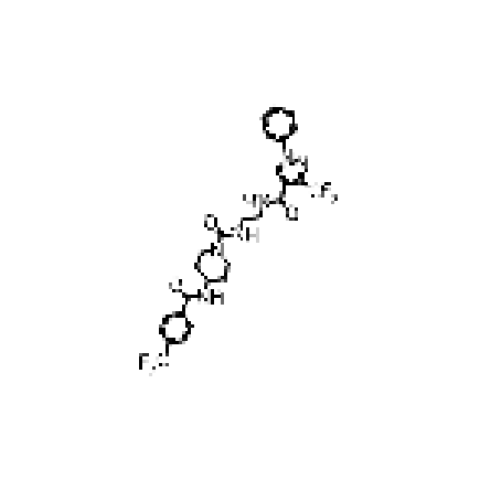 O=C(NC1CCN(C(=O)NCCNC(=O)c2cn(-c3ccccc3)nc2C(F)(F)F)CC1)c1ccc(C(F)(F)F)cc1